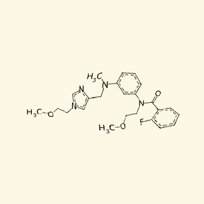 COCCN(C(=O)c1ccccc1F)c1cccc(N(C)Cc2cn(CCOC)cn2)c1